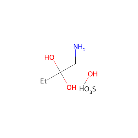 CCC(O)(O)CN.O=S(=O)(O)O